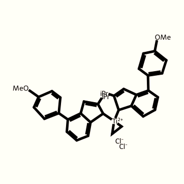 COc1ccc(-c2cccc3c2C=C(C(C)C)[CH]3[Ti+2]2([CH]3C(C(C)C)=Cc4c(-c5ccc(OC)cc5)cccc43)[CH2][CH2]2)cc1.[Cl-].[Cl-]